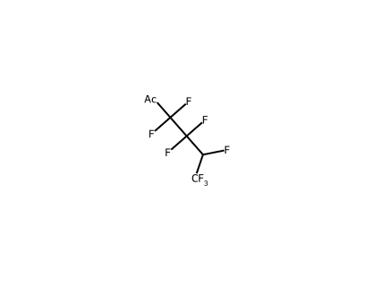 CC(=O)C(F)(F)C(F)(F)C(F)C(F)(F)F